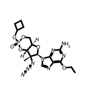 CCOc1nc(N)nc2c1ncn2[C@@H]1O[C@@H]2COP(=O)(OC3CCC3)O[C@H]2[C@@]1(C)N=[N+]=[N-]